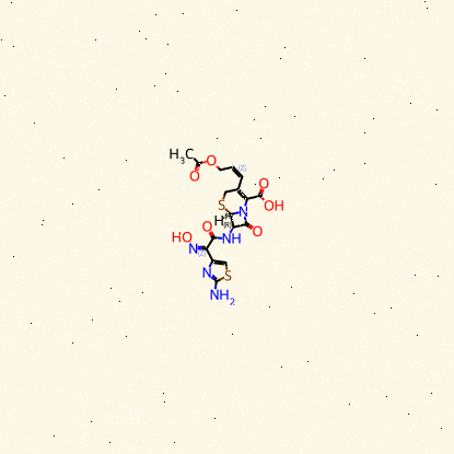 CC(=O)OC/C=C\C1=C(C(=O)O)N2C(=O)[C@@H](NC(=O)/C(=N\O)c3csc(N)n3)[C@H]2SC1